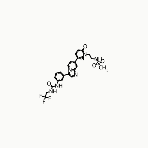 CS(=O)(=O)NCCn1nc(-c2ccn3c(-c4cccc(NC(=O)NCC(F)(F)F)c4)cnc3c2)ccc1=O